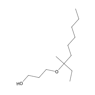 CCCCCCC(C)(CC)OCCCO